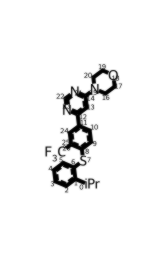 CC(C)c1ccccc1Sc1ccc(-c2cc(N3CCOCC3)ncn2)cc1C(F)(F)F